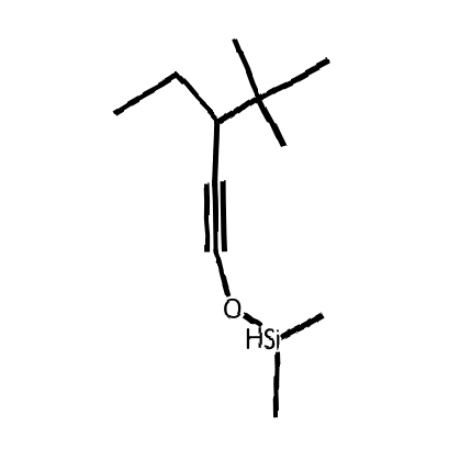 CCC(C#CO[SiH](C)C)C(C)(C)C